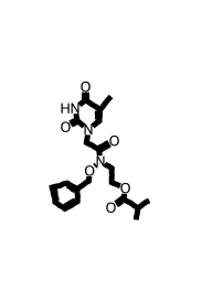 Cc1cn(CC(=O)N(CCOC(=O)C(C)C)OCc2ccccc2)c(=O)[nH]c1=O